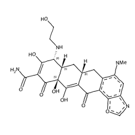 CNc1cc2ncoc2c2c1C[C@H]1C[C@H]3[C@@H](NCCO)C(O)=C(C(N)=O)C(=O)[C@@]3(O)C(O)=C1C2=O